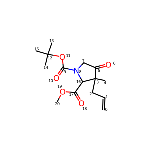 C=CCC1(C)C(=O)CN(C(=O)OC(C)(C)C)C1C(=O)OC